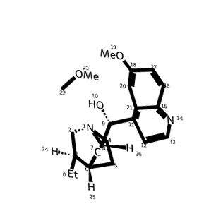 CC[C@H]1C[N@]2CC[C@H]1C[C@H]2[C@H](O)c1ccnc2ccc(OC)cc12.COC